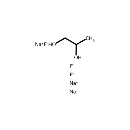 CC(O)CO.[F-].[F-].[F-].[Na+].[Na+].[Na+]